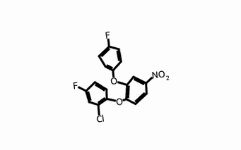 O=[N+]([O-])c1ccc(Oc2ccc(F)cc2Cl)c(Oc2ccc(F)cc2)c1